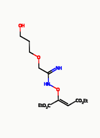 CCOC(=O)C=C(ONC(=N)COCCCO)C(=O)OCC